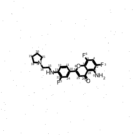 Nc1c(F)cc(F)c2oc(-c3ccc(NCCN4CCCC4)c(F)c3)cc(=O)c12